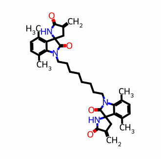 C=C1CC2(NC1=O)C(=O)N(CCCCCCCCN1C(=O)C3(CC(=C)C(=O)N3)c3c(C)ccc(C)c31)c1c(C)ccc(C)c12